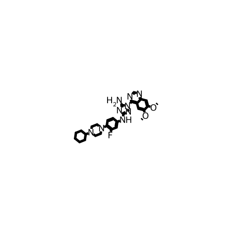 COc1cc2ncnc(-n3nc(Nc4ccc(N5CCN(C6CCCCC6)CC5)c(F)c4)nc3N)c2cc1OC